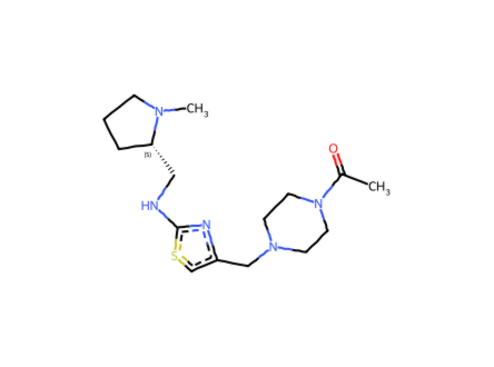 CC(=O)N1CCN(Cc2csc(NC[C@@H]3CCCN3C)n2)CC1